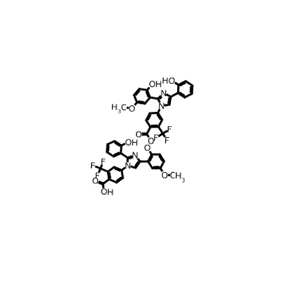 COc1ccc(O)c(-c2nc(-c3ccccc3O)cn2-c2ccc(C(=O)OOc3ccc(OC)cc3-c3cn(-c4ccc(C(=O)O)c(C(F)(F)F)c4)c(-c4ccccc4O)n3)c(C(F)(F)F)c2)c1